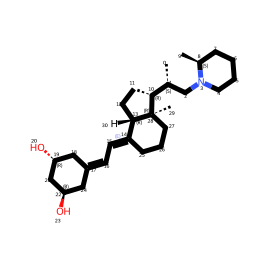 C[C@H](CN1CCCC[C@@H]1C)[C@H]1CC[C@H]2/C(=C/C=C3C[C@@H](O)C[C@H](O)C3)CCC[C@]12C